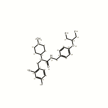 CN1CCC(N(Cc2ccc(F)cc2F)C(=O)NCc2ccc(OC(CF)CF)cc2)CC1